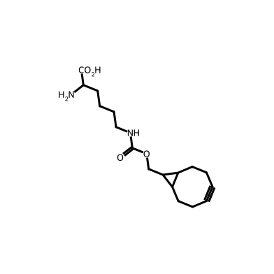 NC(CCCCNC(=O)OCC1C2CCC#CCCC21)C(=O)O